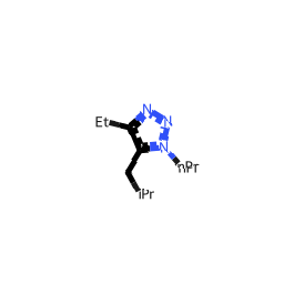 CCCn1nnc(CC)c1CC(C)C